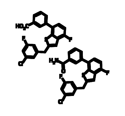 NC(=O)c1cccc(-c2ccc(F)c3cc(Cc4cc(F)cc(Cl)c4)sc23)c1.O=C(O)c1cccc(-c2ccc(F)c3cc(Cc4cc(F)cc(Cl)c4)sc23)c1